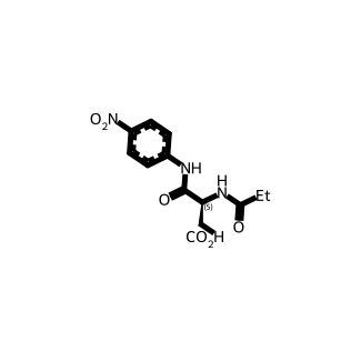 CCC(=O)N[C@@H](CC(=O)O)C(=O)Nc1ccc([N+](=O)[O-])cc1